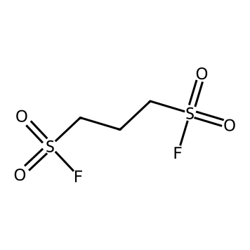 O=S(=O)(F)CCCS(=O)(=O)F